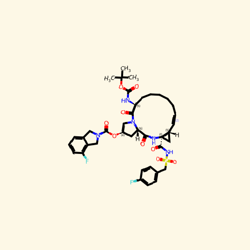 CC(C)(C)OC(=O)N[C@H]1CCCCC/C=C\[C@@H]2C[C@@]2(C(=O)NS(=O)(=O)Cc2ccc(F)cc2)NC(=O)[C@@H]2C[C@@H](OC(=O)N3Cc4cccc(F)c4C3)CN2C1=O